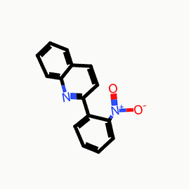 O=[N+]([O-])c1ccccc1-c1ccc2ccccc2n1